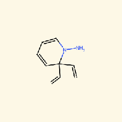 C=CC1(C=C)C=CC=CN1N